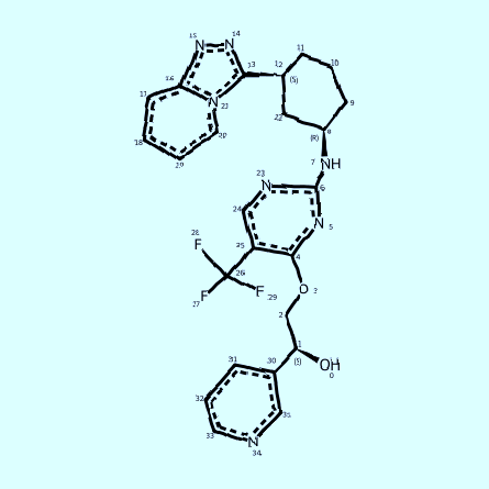 O[C@H](COc1nc(N[C@@H]2CCC[C@H](c3nnc4ccccn34)C2)ncc1C(F)(F)F)c1cccnc1